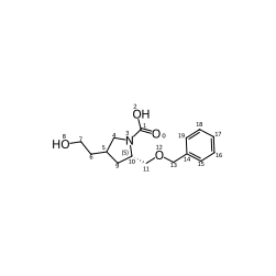 O=C(O)N1CC(CCO)C[C@H]1COCc1ccccc1